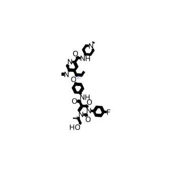 C=Nc1cnc(C(=O)NC2CCN(C)CC2)cc1/C(=C\C)Oc1ccc(NC(=O)c2cn([C@H](C)CO)c(=O)n(-c3ccc(F)cc3)c2=O)cc1